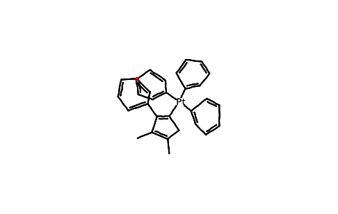 CC1=C(C)C(c2ccccc2)=[C]([Pt]([c]2ccccc2)([c]2ccccc2)[c]2ccccc2)C1